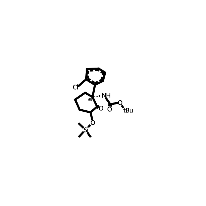 CC(C)(C)OC(=O)N[C@@]1(c2ccccc2Cl)CCCC(O[Si](C)(C)C)C1=O